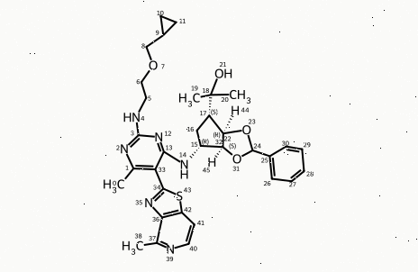 Cc1nc(NCCOCC2CC2)nc(N[C@@H]2C[C@H](C(C)(C)O)[C@H]3OC(c4ccccc4)O[C@H]32)c1-c1nc2c(C)nccc2s1